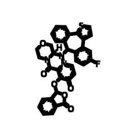 O=C1OC(Oc2c3n(ccc2=O)N(C2c4ccc(F)cc4-c4ccsc4-c4ccccc42)[C@@H]2COCCN2C3=O)c2ccccc21